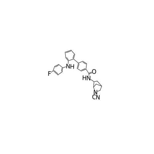 N#CN1CC2CC(NC(=O)c3ccc(-c4ccccc4Nc4ccc(F)cc4)cc3)C1C2